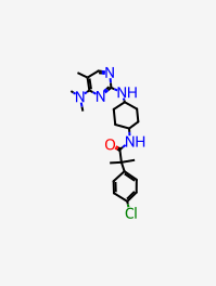 Cc1cnc(NC2CCC(NC(=O)C(C)(C)c3ccc(Cl)cc3)CC2)nc1N(C)C